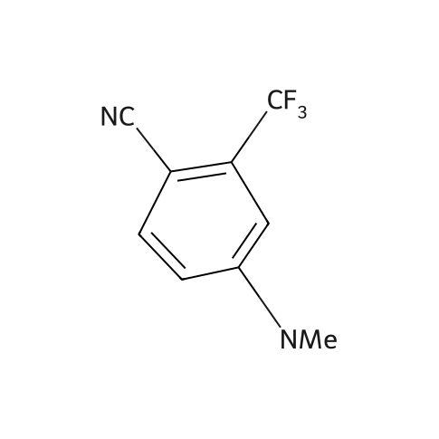 CNc1ccc(C#N)c(C(F)(F)F)c1